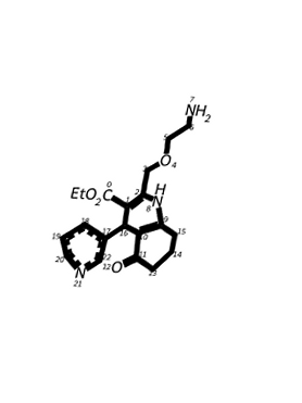 CCOC(=O)C1=C(COCCN)NC2=C(C(=O)CCC2)C1c1cccnc1